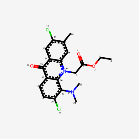 CCOC(=O)Cn1c2cc(C)c(Cl)cc2c(=O)c2ccc(Cl)c(N(C)C)c21